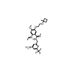 C/C=N/c1cc(OC)c(OCCOC2(C)CCC2)cc1/C(=N\C)NCc1cc(N)cc(C(F)(F)F)n1